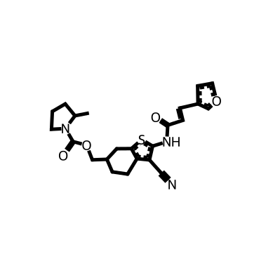 CC1CCCN1C(=O)OCC1CCc2c(sc(NC(=O)C=Cc3ccoc3)c2C#N)C1